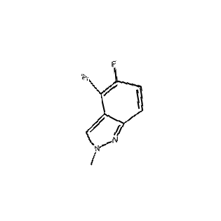 CC(C)c1c(F)ccc2nn(C)cc12